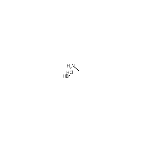 Br.CN.Cl